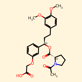 COc1ccc(CC[C@@H](OC(=O)[C@@H]2CCCN2C(C)=O)c2cccc(OCC(=O)O)c2)cc1OC